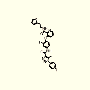 Cc1c(C(=O)Nc2ccc(Oc3cccnc3C(=O)NCCc3cccs3)c(F)c2)nnn1-c1ccc(F)cc1